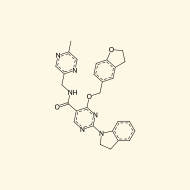 Cc1cnc(CNC(=O)c2cnc(N3CCc4ccccc43)nc2OCc2ccc3c(c2)CCO3)cn1